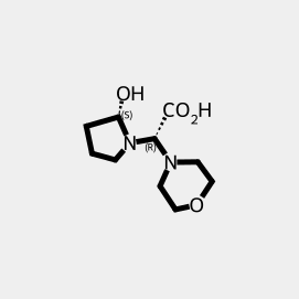 O=C(O)[C@H](N1CCOCC1)N1CCC[C@@H]1O